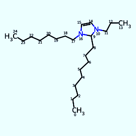 CCCCCCCCCC1N(CCC)C=CN1CCCCCCCC